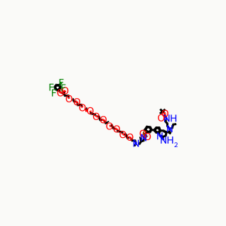 C=C(C1=Cc2ccc(-c3cccc(S(=O)(=O)N4CC(CN(C)CCOCCOCCOCCOCCOCCOCCOCCOCCOCCOCCC(=O)Oc5c(F)c(F)cc(F)c5F)C4)c3)cc2N=C(N)C1)N(CCC)CCCNC(=O)OC(C)(C)C